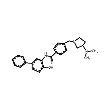 CN(C)C1CCN(Cc2ccc(C(=O)Nc3cc(-c4ccccc4)ccc3O)cc2)C1